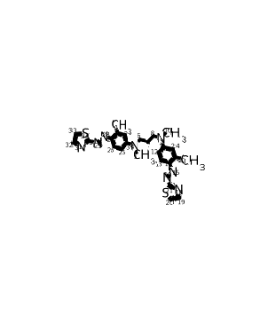 Cc1cc(N(C)CCCN(C)c2ccc(N=Nc3nccs3)c(C)c2)ccc1N=Nc1nccs1